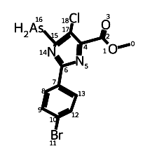 COC(=O)c1nc(-c2ccc(Br)cc2)nc([AsH2])c1Cl